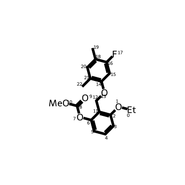 CCOc1cccc(OC(=O)OC)c1COc1cc(F)c(C)cc1C